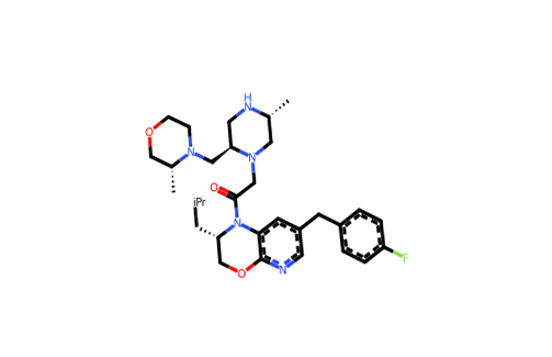 CC(C)C[C@H]1COc2ncc(Cc3ccc(F)cc3)cc2N1C(=O)CN1C[C@@H](C)NC[C@@H]1CN1CCOC[C@H]1C